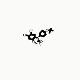 CC(C)(C)Oc1ccc(N(C(N)=O)c2cc(Cl)c(Cl)cc2Cl)cc1